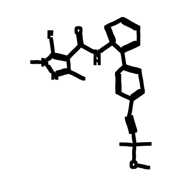 COC(C)(C)C#Cc1ccc(-c2ccccc2NC(=O)c2c(C)nn(C)c2F)cc1